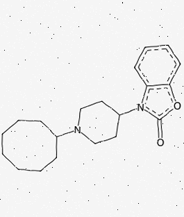 O=c1oc2ccccc2n1C1CCN(C2CCCCCCC2)CC1